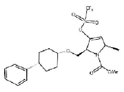 COC(=O)N1[C@H](C)C=C(OS(=O)(=O)C(F)(F)F)[C@@H]1CO[C@H]1CC[C@@H](c2ccccc2)CC1